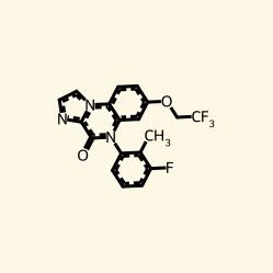 Cc1c(F)cccc1-n1c(=O)c2nccn2c2ccc(OCC(F)(F)F)cc21